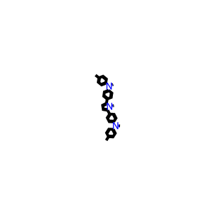 Cc1ccc(N(C)c2ccc(-c3ccc(-c4ccc(N(C)c5ccc(C)cc5)cc4)n3C)cc2)cc1